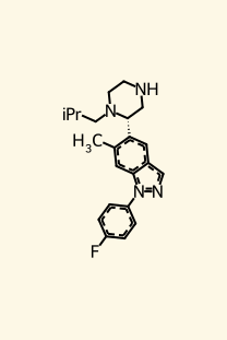 Cc1cc2c(cnn2-c2ccc(F)cc2)cc1[C@H]1CNCCN1CC(C)C